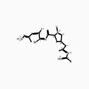 C=C(\N=C(Br)/C(F)=C\C(C)=C\N)C1CC(C/C(C)=N/C(C)=N)CN1C